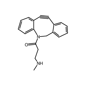 CNCCC(=O)N1Cc2ccccc2C#Cc2ccccc21